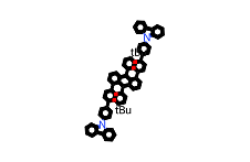 CC(C)(C)c1ccc(-c2c3cccc(-c4ccc(-c5ccc(-n6c7ccccc7c7ccccc76)cc5)cc4)c3c(-c3ccc(C(C)(C)C)cc3)c3cccc(-c4ccc(-c5ccc(-n6c7ccccc7c7ccccc76)cc5)cc4)c23)cc1